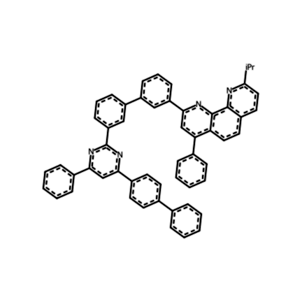 CC(C)c1ccc2ccc3c(-c4ccccc4)cc(-c4cccc(-c5cccc(-c6nc(-c7ccccc7)cc(-c7ccc(-c8ccccc8)cc7)n6)c5)c4)nc3c2n1